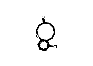 O=C1CCCCc2c(Cl)cccc2OCC1